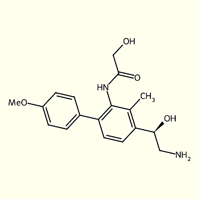 COc1ccc(-c2ccc([C@@H](O)CN)c(C)c2NC(=O)CO)cc1